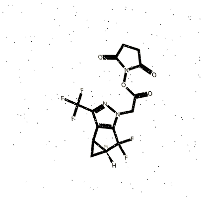 O=C(Cn1nc(C(F)(F)F)c2c1C(F)(F)[C@@H]1CC21)ON1C(=O)CCC1=O